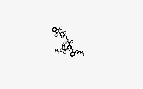 CNC(=O)c1cc(C(=O)NCCC[C@H]2OC[C@H](N3C(=O)c4ccccc4C3=O)CO2)cc(Cc2ccccc2OC)n1